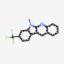 Cn1c2cc(C(F)(F)F)ccc2c2cc3ccccc3nc21